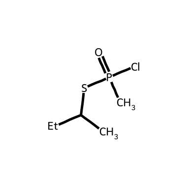 CCC(C)SP(C)(=O)Cl